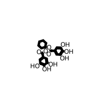 O=C(OC1(OC(=O)c2cc(O)c(O)c(O)c2)CCCCC1)c1cc(O)c(O)c(O)c1